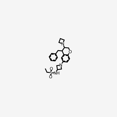 CCS(=O)(=O)NC1CN(c2ccc3c(c2)C(Cc2ccccc2)C(N2CCC2)CO3)C1